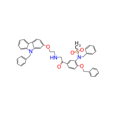 CS(=O)(=O)N(Cc1ccccc1)c1cc(C(=O)CNCCOc2ccc3c4ccccc4n(Cc4ccccc4)c3c2)ccc1OCc1ccccc1